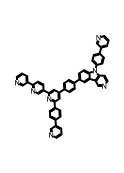 c1cncc(-c2ccc(-c3cc(-c4ccc(-c5ccc6c(c5)c5cnccc5n6-c5ccc(-c6cccnc6)cc5)cc4)cc(-c4ccc(-c5cccnc5)nc4)n3)cc2)c1